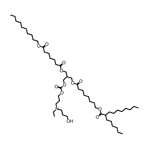 CCCCCCCCCCOC(=O)CCCCCC(=O)OCC(COC(=O)CCCCCCCOC(=O)C(CCCCCC)CCCCCCCC)COC(=O)OCCCN(CC)CCCO